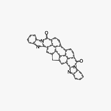 O=c1c2ccc3c4ccc5c(=O)n6c7ccccc7nc6c6cc7c(c8c(cc(c2c38)c2nc3ccccc3n12)C7)c4c56